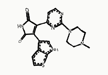 CN1CCN(c2nccc(C3=C(c4c[nH]c5sccc45)C(=O)NC3=O)n2)CC1